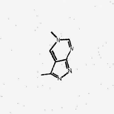 Cc1nnc2ncn(C)cc1-2